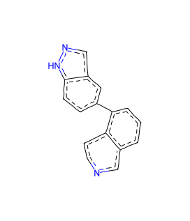 c1cc(-c2ccc3[nH]ncc3c2)c2ccncc2c1